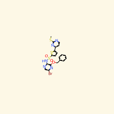 CSc1nccc(-c2ccc(S(=O)(=O)Nc3ncc(Br)nc3OCc3ccccc3)s2)n1